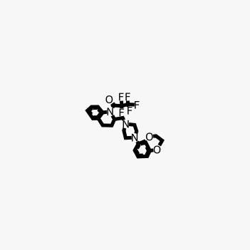 O=C(N1c2ccccc2CCC1CN1CCN(c2cccc3c2OCCO3)CC1)C(F)(F)C(F)(F)F